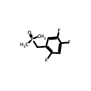 CP(C)(=O)Cc1cc(F)c(F)cc1F